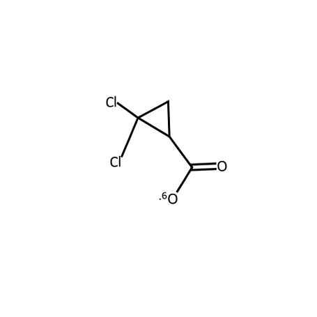 O=C([6O])C1CC1(Cl)Cl